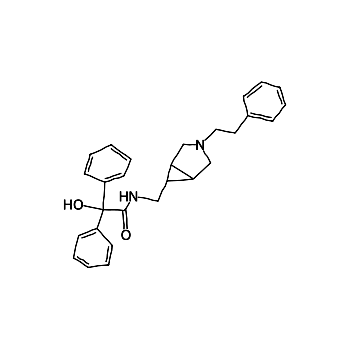 O=C(NCC1C2CN(CCc3ccccc3)CC12)C(O)(c1ccccc1)c1ccccc1